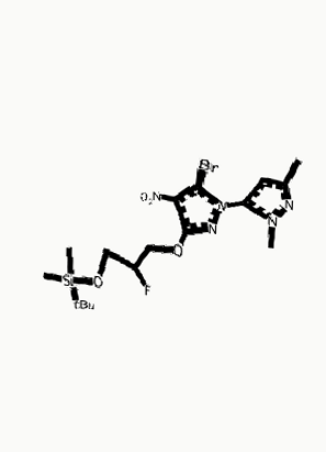 Cc1cc(-n2nc(OCC(F)CO[Si](C)(C)C(C)(C)C)c([N+](=O)[O-])c2Br)n(C)n1